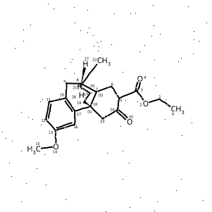 CCOC(=O)C1C[C@@H]2[C@H]3Cc4ccc(OC)cc4[C@@]2(CCN3C)CC1=O